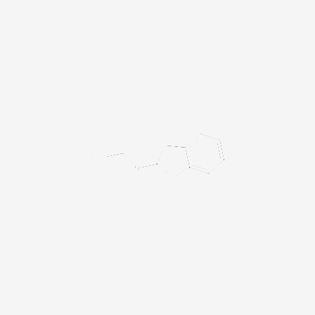 [CH2]CNC1Oc2ccccc2O1